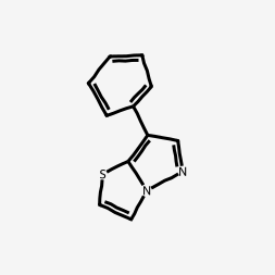 c1ccc(-c2cnn3ccsc23)cc1